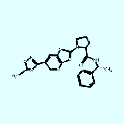 Cc1nc(-c2cnc3nc(N4CCCC4C(=O)N[C@H](C)c4ccccc4)sc3c2)no1